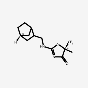 C[C@@]1(C(F)(F)F)SC(NCC2C[C@@H]3CCC2C3)=NC1=O